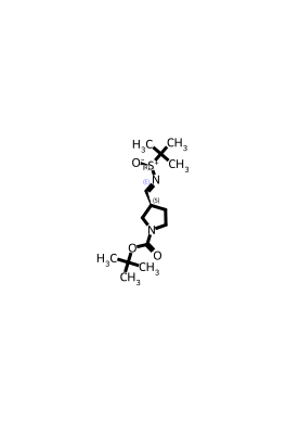 CC(C)(C)OC(=O)N1CC[C@H](/C=N/[S@@+]([O-])C(C)(C)C)C1